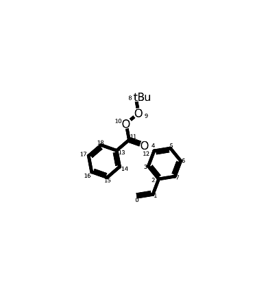 C=Cc1ccccc1.CC(C)(C)OOC(=O)c1ccccc1